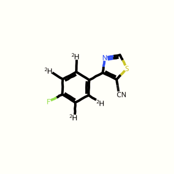 [2H]c1c([2H])c(-c2ncsc2C#N)c([2H])c([2H])c1F